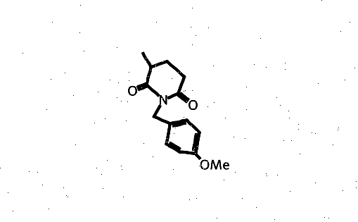 COc1ccc(CN2C(=O)CCC(C)C2=O)cc1